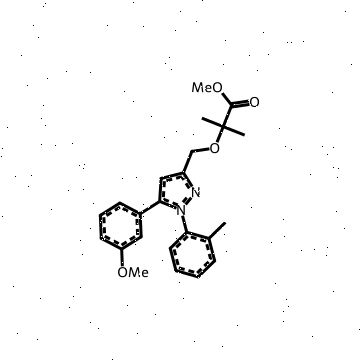 COC(=O)C(C)(C)OCc1cc(-c2cccc(OC)c2)n(-c2ccccc2C)n1